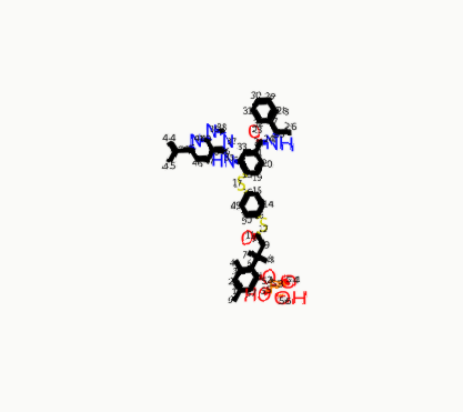 Cc1cc(C)c(C(C)(C)CC(=O)Sc2ccc(Sc3ccc(C(=O)NC(C)c4ccccc4)cc3Nc3ncnc4nc(C(C)C)ccc34)cc2)c(OP(=O)(O)O)c1